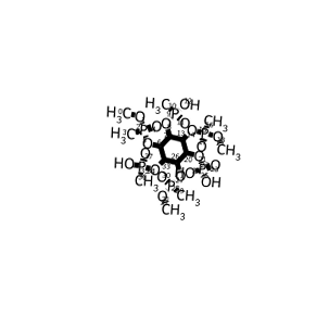 COP(C)(=O)OC1C(OP(C)(=O)O)C(OP(C)(=O)OC)C(OP(=O)(O)O)C(OP(C)(=O)OC)C1OP(C)(=O)O